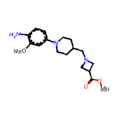 CCCCOC(=O)C1CN(CC2CCN(c3ccc(N)c(OC)c3)CC2)C1